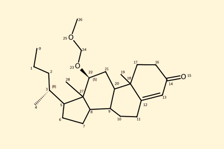 CCC[C@@H](C)C1CCC2C3CCC4=CC(=O)CCC4(C)C3C[C@H](OCOC)C21C